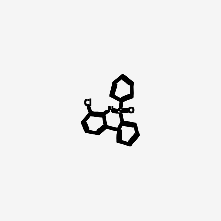 O=S1(c2ccccc2)=Nc2c(Cl)cccc2-c2ccccc21